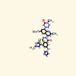 COc1cc(N2CCN(C)C(=O)C2)c2nc(C)cc(N3CCc4c(cc(Cn5ccnc5)cc4-c4cn(C)nc4C(F)(F)F)C3=O)c2c1